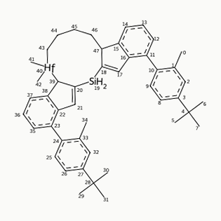 Cc1cc(C(C)(C)C)ccc1-c1cccc2c1C=C1[SiH2]C3=Cc4c(-c5ccc(C(C)(C)C)cc5C)cccc4[CH]3[Hf]([CH3])([CH3])[CH2]CCCC12